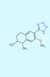 COc1cc2c(cc1-c1nnn[nH]1)CCC(C)C2C